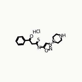 Cl.O=C(CC(=S)[N-]c1c[n+](N2CCNCC2)no1)c1ccccc1